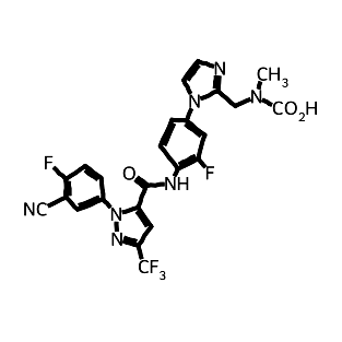 CN(Cc1nccn1-c1ccc(NC(=O)c2cc(C(F)(F)F)nn2-c2ccc(F)c(C#N)c2)c(F)c1)C(=O)O